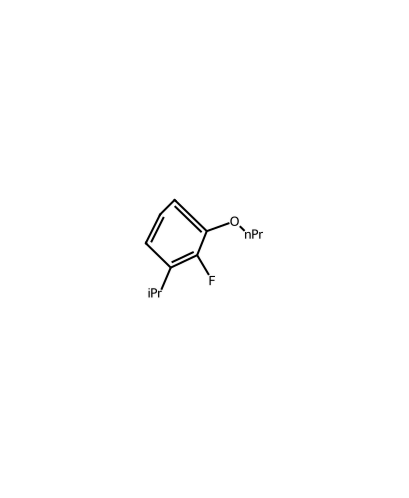 [CH2]C(C)c1cccc(OCCC)c1F